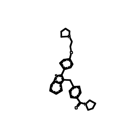 O=C(c1ccc(Cc2c(-c3ccc(OCCN4CCCC4)cc3)sc3ccccc23)cc1)N1CCCC1